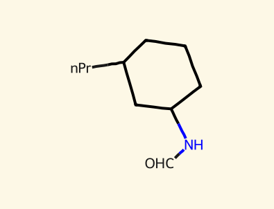 CCCC1CCCC(NC=O)C1